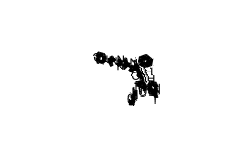 COCCN1C[C@@H](NC(=O)Nc2c(C)c(-c3cnc(N4CC(N5CCOCC5)C4)nc3)nn2-c2ccccc2)[C@H](c2ccnc(F)c2)O1